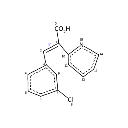 O=C(O)/C(=C/c1cccc(Cl)c1)c1ccccn1